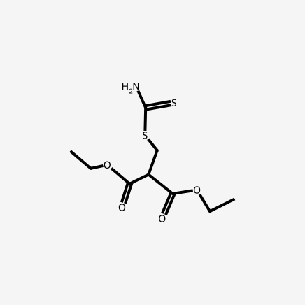 CCOC(=O)C(CSC(N)=S)C(=O)OCC